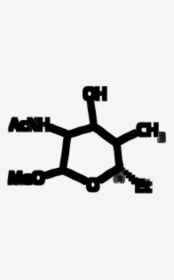 CC[C@@H]1OC(OC)C(NC(C)=O)C(O)C1C